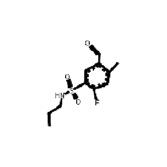 CCCNS(=O)(=O)c1cc(C=O)c(C)cc1F